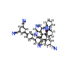 N#Cc1cc(C#N)cc(-c2ccc3c4ccccc4n(-c4cncc(-n5c6ccccc6c6ccc(-c7cc(C#N)cc(C#N)c7)cc65)c4-c4ccccc4C#N)c3c2)c1